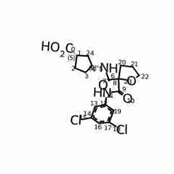 O=C(O)[C@H]1CC[C@@H](NC(=O)C2(C(=O)Nc3cc(Cl)cc(Cl)c3)CCCO2)C1